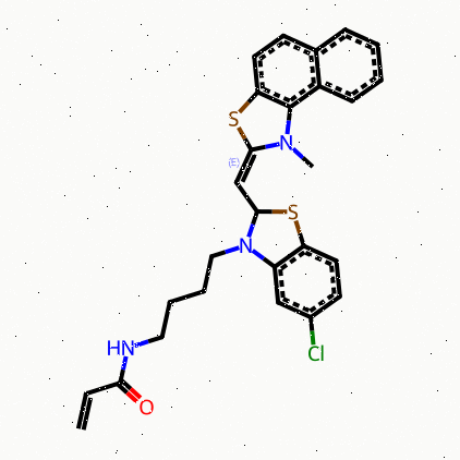 C=CC(=O)NCCCCN1c2cc(Cl)ccc2SC1/C=C1/Sc2ccc3ccccc3c2N1C